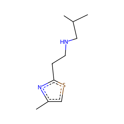 Cc1csc(CCNCC(C)C)n1